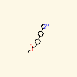 CCOC(=O)CC1CCC(c2ccc(-c3cc[nH]n3)cc2)CC1